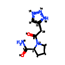 NC(=O)C1CCCN1C(=O)Cc1cnn[nH]1